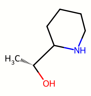 C[C@@H](O)C1CCCCN1